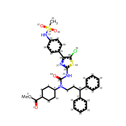 COC(=O)C1CCC(N(CCC(c2ccccc2)c2ccccc2)C(=O)Nc2nc(-c3ccc(NS(C)(=O)=O)cc3)c(Cl)s2)CC1